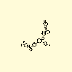 O=C(NCCOc1ccc(-c2ccc(C(=O)N3CCC(F)(F)CC3)cc2)cc1-c1ccc(F)cc1)N1Cc2ccncc2C1